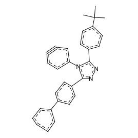 CC(C)(C)c1ccc(-c2nnc(-c3ccc(-c4ccccc4)cc3)n2-c2cc#ccc2)cc1